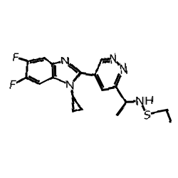 CCSNC(C)c1cc(-c2nc3cc(F)c(F)cc3n2C2CC2)cnn1